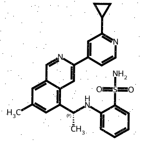 Cc1cc([C@@H](C)Nc2ccccc2S(N)(=O)=O)c2cc(-c3ccnc(C4CC4)c3)ncc2c1